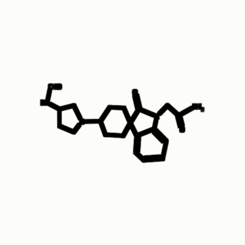 NC(=O)CN1C(=O)C2(CCC(N3CCC(NC=O)C3)CC2)c2ccccc21